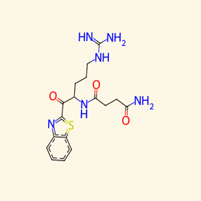 N=C(N)NCCCC(NC(=O)CCC(N)=O)C(=O)c1nc2ccccc2s1